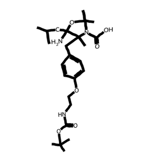 CC(C)CC1(N)OC(C)(C)N(C(=O)O)C1(C)Cc1ccc(OCCNC(=O)OC(C)(C)C)cc1